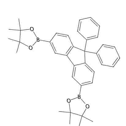 CC1(C)OB(c2ccc3c(c2)-c2cc(B4OC(C)(C)C(C)(C)O4)ccc2C3(c2ccccc2)c2ccccc2)OC1(C)C